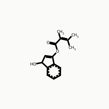 CC(C)=C(C)C(=O)OC1=CC(O)c2ccccc21